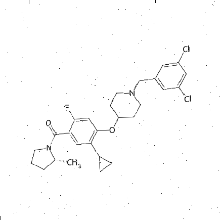 C[C@@H]1CCCN1C(=O)c1cc(C2CC2)c(OC2CCN(Cc3cc(Cl)cc(Cl)c3)CC2)cc1F